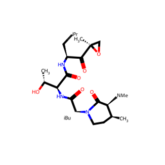 CC[C@H](C)[C@@H](C(=O)N[C@H](C(=O)N[C@@H](CC(C)C)C(=O)[C@@]1(C)CO1)[C@@H](C)O)N1CC[C@H](C)[C@H](NC)C1=O